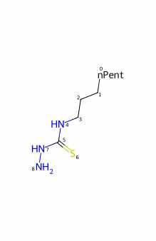 CCCCCCCCNC(=S)NN